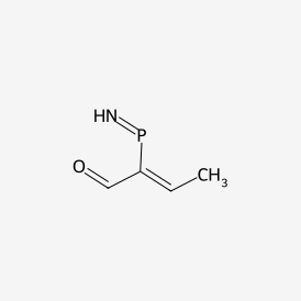 C/C=C(/C=O)P=N